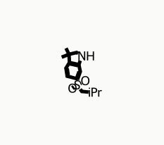 CC(C)CS(=O)(=O)c1ccc2c(c1)NCC2(C)C